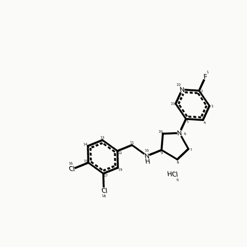 Cl.Fc1ccc(N2CCC(NCc3ccc(Cl)c(Cl)c3)C2)cn1